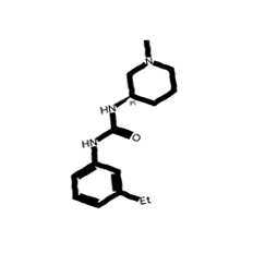 CCc1cccc(NC(=O)N[C@@H]2CCCN(C)C2)c1